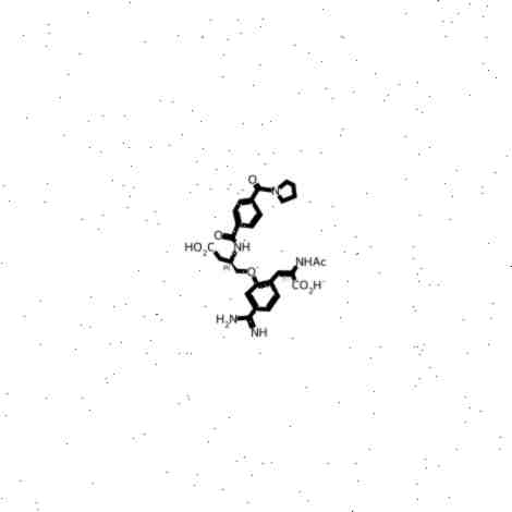 CC(=O)N/C(=C/c1ccc(C(=N)N)cc1OC[C@@H](CC(=O)O)NC(=O)c1ccc(C(=O)N2CCCC2)cc1)C(=O)O